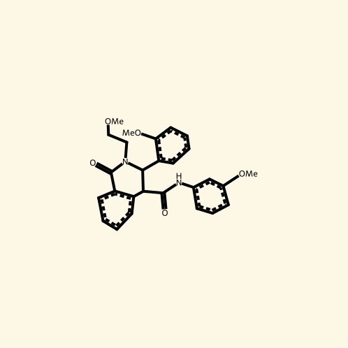 COCCN1C(=O)c2ccccc2C(C(=O)Nc2cccc(OC)c2)C1c1ccccc1OC